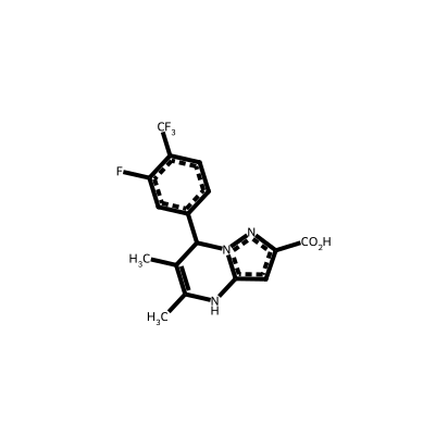 CC1=C(C)C(c2ccc(C(F)(F)F)c(F)c2)n2nc(C(=O)O)cc2N1